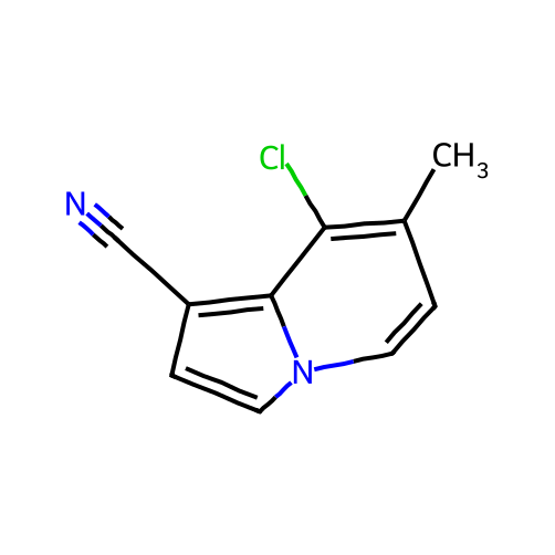 Cc1ccn2ccc(C#N)c2c1Cl